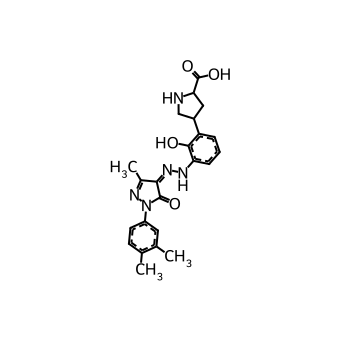 CC1=NN(c2ccc(C)c(C)c2)C(=O)/C1=N\Nc1cccc(C2CNC(C(=O)O)C2)c1O